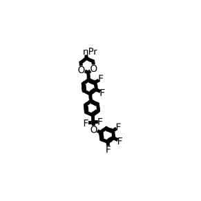 CCCC1COC(c2ccc(-c3ccc(C(F)(F)Oc4cc(F)c(F)c(F)c4)cc3)c(F)c2F)OC1